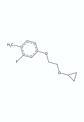 Cc1ccc(OCCOC2CC2)cc1F